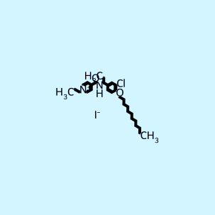 CCCCCCCCCCCCOc1ccc(C(CC)NC(=O)c2cc[n+](CCC)cc2)cc1Cl.[I-]